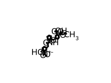 CCOC(=O)c1ccc(Oc2ccccc2NC(=O)Cc2ccc(O)c([N+](=O)[O-])c2)cc1C(=O)O